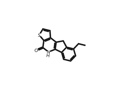 CCc1cccc2c1Cc1c-2[nH]c(=O)c2sccc12